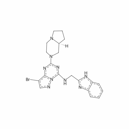 Brc1cnn2c(NCc3nc4ccccc4[nH]3)nc(N3CCN4CCC[C@H]4C3)nc12